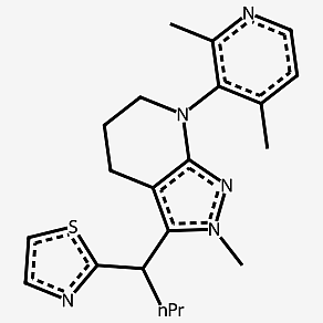 CCCC(c1nccs1)c1c2c(nn1C)N(c1c(C)ccnc1C)CCC2